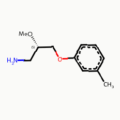 CO[C@@H](CN)COc1cccc(C)c1